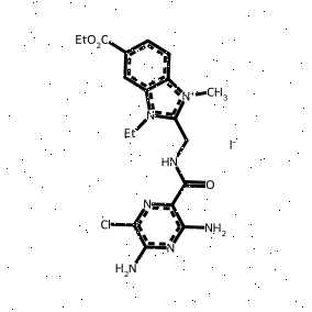 CCOC(=O)c1ccc2c(c1)n(CC)c(CNC(=O)c1nc(Cl)c(N)nc1N)[n+]2C.[I-]